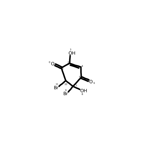 O=C1C(O)=CC(=O)C(O)(Br)C1Br